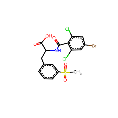 CS(=O)(=O)c1cccc(CC(NC(=O)c2c(Cl)cc(Br)cc2Cl)C(=O)O)c1